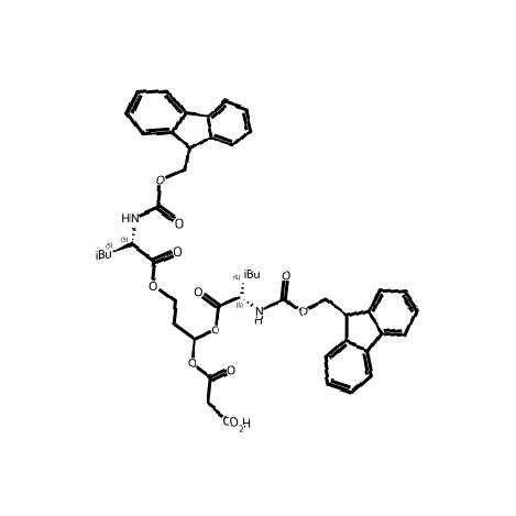 CC[C@H](C)[C@H](NC(=O)OCC1c2ccccc2-c2ccccc21)C(=O)OCCC(OC(=O)CC(=O)O)OC(=O)[C@@H](NC(=O)OCC1c2ccccc2-c2ccccc21)[C@@H](C)CC